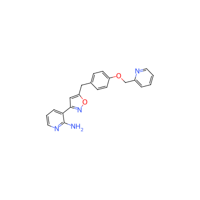 Nc1ncccc1-c1cc(Cc2ccc(OCc3ccccn3)cc2)on1